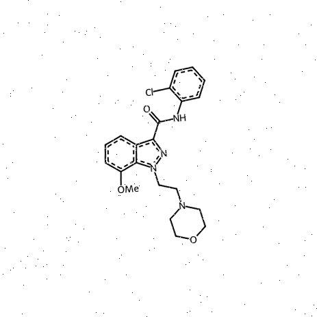 COc1cccc2c(C(=O)Nc3ccccc3Cl)nn(CCN3CCOCC3)c12